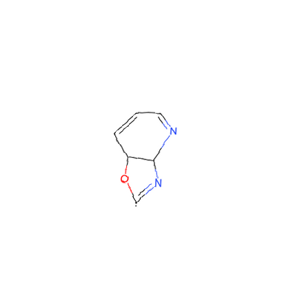 [C]1=NC2N=CC=CC2O1